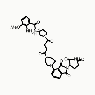 COc1cccc(C(=O)N[C@H]2CCN(C(=O)CCC(=O)N3CCN(c4cccc5c4C(=O)N(C4CCC(=O)NC4=O)C5=O)CC3)C2)c1N